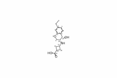 CCc1ccc2c(c1)OC[C@@H](NC1CC(C(=O)O)C1)[C@H]2O